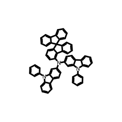 c1ccc(-n2c3ccccc3c3ccc(N(c4ccc5c6ccccc6n(-c6ccccc6)c5c4)c4cccc5c4-c4ccccc4C54c5ccccc5-c5ccccc54)cc32)cc1